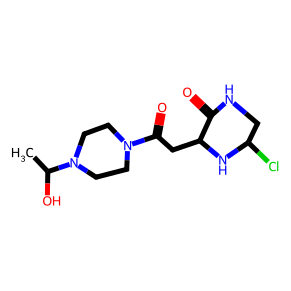 CC(O)N1CCN(C(=O)CC2NC(Cl)CNC2=O)CC1